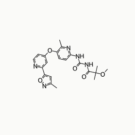 COC(C)(C)C(=O)NC(=O)Nc1ccc(Oc2ccnc(-c3cc(C)no3)c2)c(C)n1